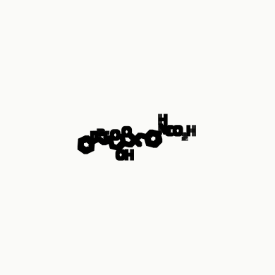 CCCC1(CCc2ccccc2)CC(O)=C(CC(C)(C)Cc2cccc(NC(=O)O)c2)C(=O)O1